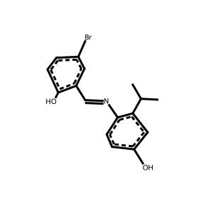 CC(C)c1cc(O)ccc1N=Cc1cc(Br)ccc1O